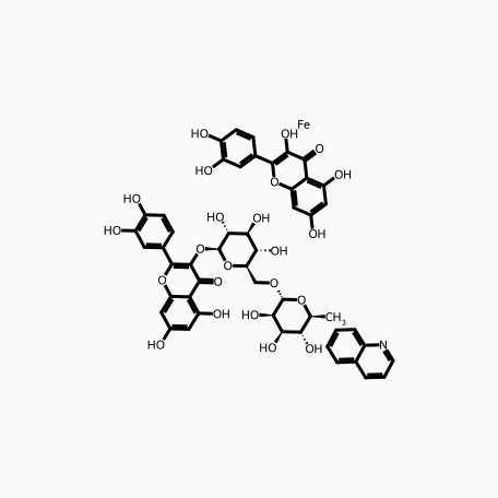 C[C@@H]1O[C@@H](OC[C@H]2O[C@@H](Oc3c(-c4ccc(O)c(O)c4)oc4cc(O)cc(O)c4c3=O)[C@H](O)[C@@H](O)[C@@H]2O)[C@H](O)[C@H](O)[C@H]1O.O=c1c(O)c(-c2ccc(O)c(O)c2)oc2cc(O)cc(O)c12.[Fe].c1ccc2ncccc2c1